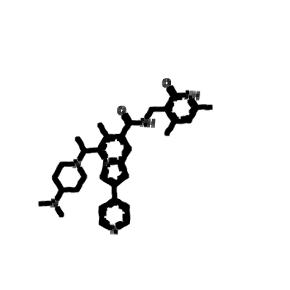 Cc1cc(C)c(CNC(=O)c2cc3cc(-c4ccncc4)cn3c(C(C)N3CCC(N(C)C)CC3)c2C)c(=O)[nH]1